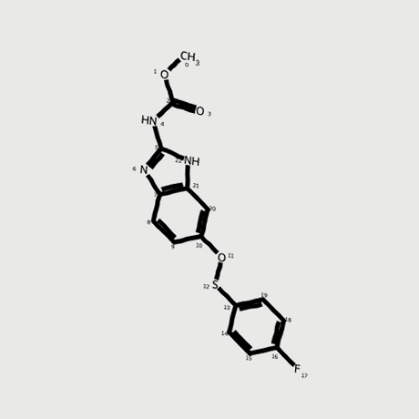 COC(=O)Nc1nc2ccc(OSc3ccc(F)cc3)cc2[nH]1